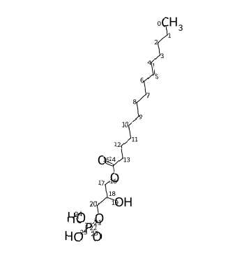 CCCCC=CCCCCCCCCC(=O)OCC(O)COP(=O)(O)O